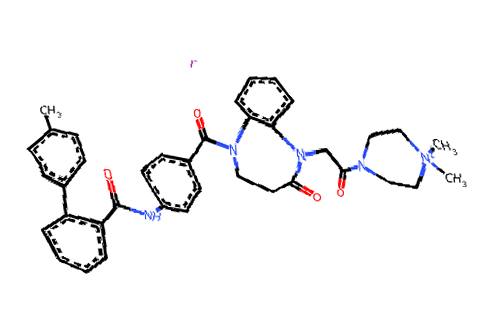 Cc1ccc(-c2ccccc2C(=O)Nc2ccc(C(=O)N3CCC(=O)N(CC(=O)N4CC[N+](C)(C)CC4)c4ccccc43)cc2)cc1.[I-]